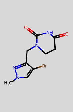 Cn1cc(Br)c(CN2CCC(=O)NC2=O)n1